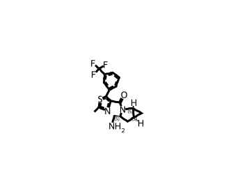 Cc1nc(C(=O)N2[C@H](CN)C[C@@H]3C[C@@H]32)c(-c2cccc(C(F)(F)F)c2)s1